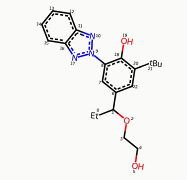 CCC(OCCO)c1cc(-n2nc3ccccc3n2)c(O)c(C(C)(C)C)c1